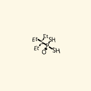 CCS(CC)(CC)P(=O)(S)S